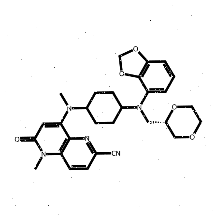 CN(c1cc(=O)n(C)c2ccc(C#N)nc12)C1CCC(N(C[C@H]2COCCO2)c2cccc3c2OCO3)CC1